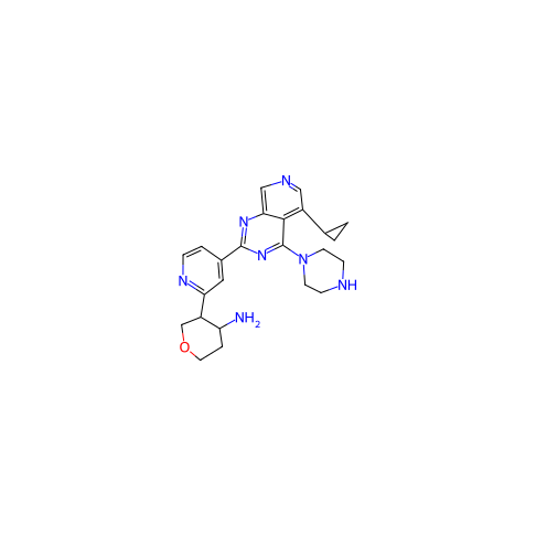 NC1CCOCC1c1cc(-c2nc(N3CCNCC3)c3c(C4CC4)cncc3n2)ccn1